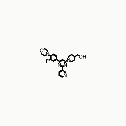 OCC1CCN(c2cc(-c3ccc(N4CCOCC4)c(F)c3)nc(-c3cccnc3)n2)CC1